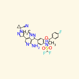 CC(Oc1cc(-c2nn(C)c3c(-c4cnn(C5(C#N)CC5)c4)cnc(N)c23)ccc1NS(=O)(=O)C(F)F)c1ccc(F)cc1